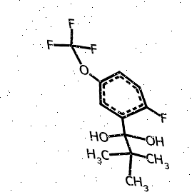 CC(C)(C)C(O)(O)c1cc(OC(F)(F)F)ccc1F